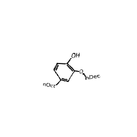 CCCCCCCCCCOc1cc(CCCCCCCC)ccc1O